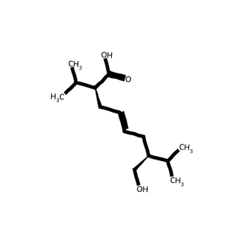 CC(C)[C@@H](CO)C/C=C/C[C@H](C(=O)O)C(C)C